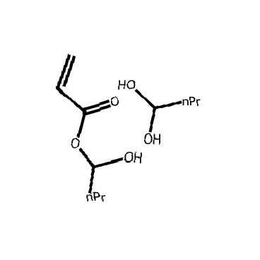 C=CC(=O)OC(O)CCC.CCCC(O)O